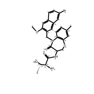 COc1cc2ccc(Br)cc2cc1CN1C(=O)C(NC(=O)[C@@H](N)[C@H](C)O)COc2cc(C)ccc21